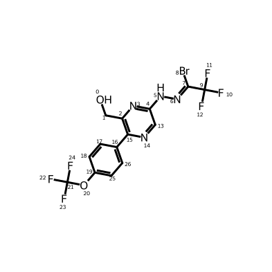 OCc1nc(NN=C(Br)C(F)(F)F)cnc1-c1ccc(OC(F)(F)F)cc1